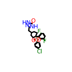 O=c1[nH]nc(CC2CCC(c3cc(F)ccc3F)(S(=O)(=O)c3ccc(Cl)cc3)CC2)[nH]1